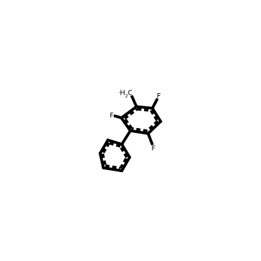 [CH2]c1c(F)cc(F)c(-c2ccccc2)c1F